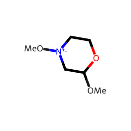 COC1C[N+](OC)CCO1